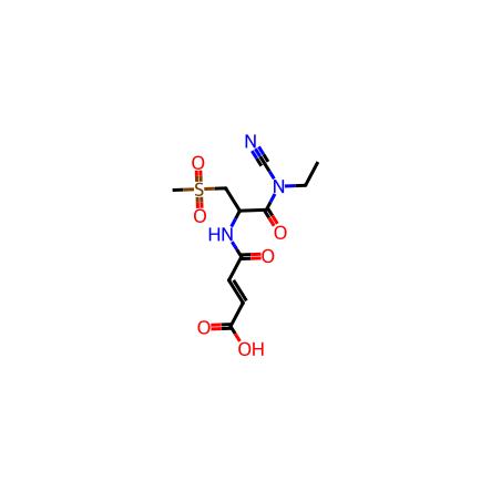 CCN(C#N)C(=O)C(CS(C)(=O)=O)NC(=O)/C=C/C(=O)O